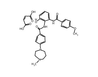 COc1ccc(C(=O)Nc2cccc(O)c2NC(=O)c2ccc(N3CCCN(C)CC3)cc2)cc1.O=C(O)/C=C\C(=O)O